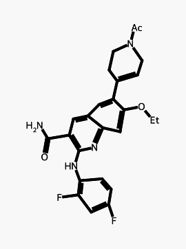 CCOc1cc2nc(Nc3ccc(F)cc3F)c(C(N)=O)cc2cc1C1=CCN(C(C)=O)CC1